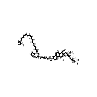 CCCCC/C=C\C/C=C\CCCCCCCCOC[C@@H](CN1CCCC1)OCCOCCO[C@H]1CC[C@@]2(C)C(=CCC3C2CC[C@@]2(C)C3CC[C@@H]2[C@H](C)CCCC(C)C)C1